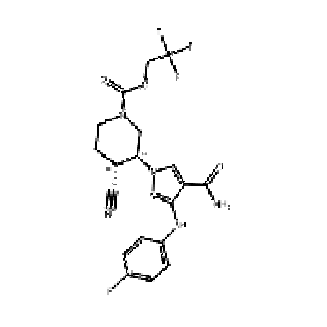 N#C[C@@H]1CCN(C(=O)OCC(F)(F)F)C[C@H]1n1cc(C(N)=O)c(Nc2ccc(F)cc2)n1